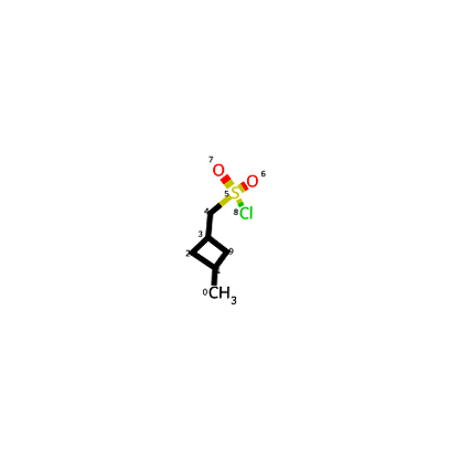 CC1CC(CS(=O)(=O)Cl)C1